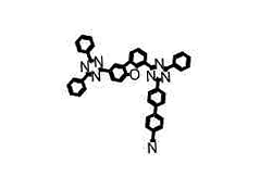 N#Cc1ccc(-c2ccc(-c3nc(-c4ccccc4)nc(-c4cccc5c4oc4ccc(-c6nc(-c7ccccc7)nc(-c7ccccc7)n6)cc45)n3)cc2)cc1